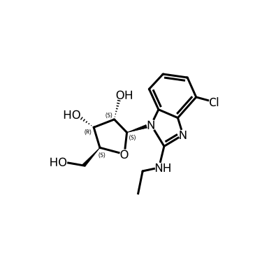 CCNc1nc2c(Cl)cccc2n1[C@H]1O[C@@H](CO)[C@H](O)[C@@H]1O